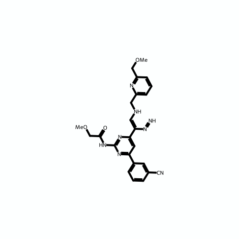 COCC(=O)Nc1nc(/C(=C/NCc2cccc(COC)n2)N=N)cc(-c2cccc(C#N)c2)n1